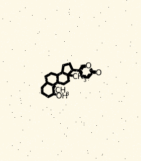 CC12CCC3C(CCC4C[CH]CC(O)C43C)C1CCC2c1ccc(=O)oc1